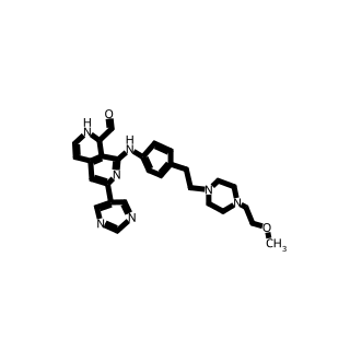 COCCN1CCN(CCc2ccc(Nc3nc(-c4cncnc4)cc4c3C(C=O)NC=C4)cc2)CC1